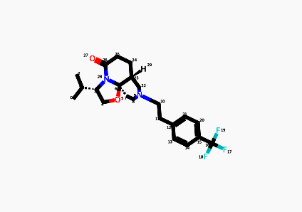 CC(C)[C@H]1CO[C@]23CCN(CCc4ccc(C(F)(F)F)cc4)C[C@H]2CCC(=O)N13